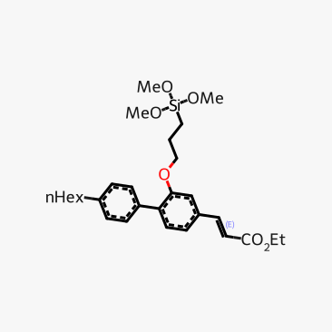 CCCCCCc1ccc(-c2ccc(/C=C/C(=O)OCC)cc2OCCC[Si](OC)(OC)OC)cc1